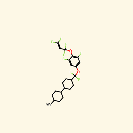 CCCC1CCC(C2CCC(C(F)(F)Oc3cc(F)c(OC(F)(F)C=C(F)F)c(F)c3)CC2)CC1